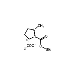 CN1CC[C@@H](C(=O)[O-])N1C(=O)OC(C)(C)C.[Li+]